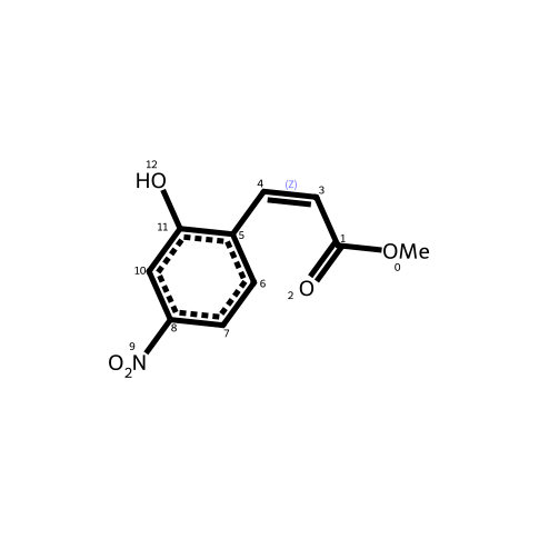 COC(=O)/C=C\c1ccc([N+](=O)[O-])cc1O